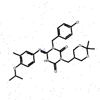 Cc1cc(/N=c2\[nH]c(=O)n(CC3COC(C)(C)OC3)c(=O)n2Cc2ccc(Cl)cc2)ccc1OC(C)C